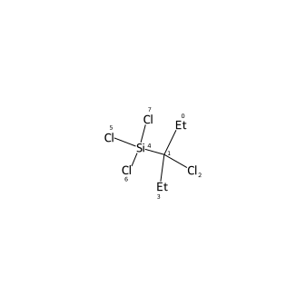 CCC(Cl)(CC)[Si](Cl)(Cl)Cl